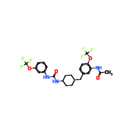 CC(=O)Nc1cc(CC2CCC(NC(=O)Nc3cccc(OC(F)(F)F)c3)CC2)ccc1OC(F)(F)F